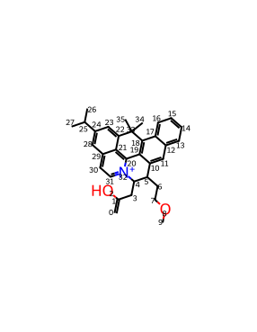 C=C(O)CC1C(CCOC)c2cc3ccccc3c3c2-c2c4c(cc(C(C)C)cc4cc[n+]21)C3(C)C